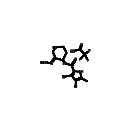 CON=C1CNCCC1NC(=O)c1[nH]c(C)c(Cl)c1Cl.O=C(O)C(F)(F)F